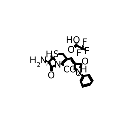 N[C@@H]1C(=O)N2C(C(=O)O)=C(C=C3CN(c4ccccc4)C3=O)CS[C@H]12.O=C(O)C(F)(F)F